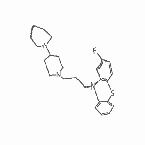 Fc1ccc2c(c1)N(CCCN1CCC(N3CCCCC3)CC1)c1ccccc1S2